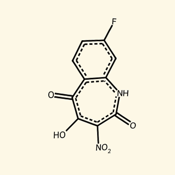 O=c1[nH]c2cc(F)ccc2c(=O)c(O)c1[N+](=O)[O-]